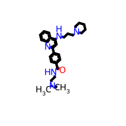 CN(C)CCNC(=O)c1ccc(-c2cc(NCCCN3CCCCC3)c3ccccc3n2)cc1